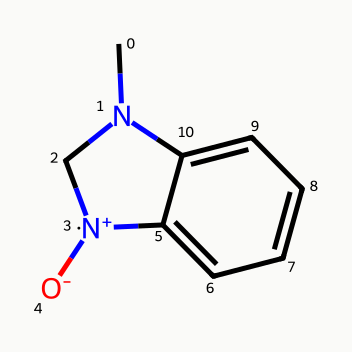 CN1C[N+]([O-])c2ccccc21